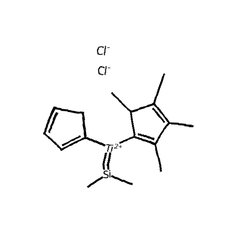 CC1=C(C)C(C)[C]([Ti+2]([C]2=CC=CC2)=[Si](C)C)=C1C.[Cl-].[Cl-]